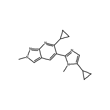 Cn1cc2cc(-c3ncc(C4CC4)n3C)c(C3CC3)nc2n1